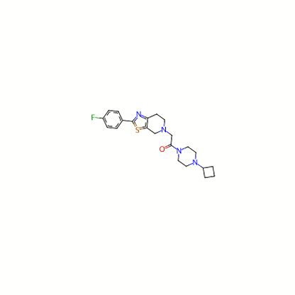 O=C(CN1CCc2nc(-c3ccc(F)cc3)sc2C1)N1CCN(C2CCC2)CC1